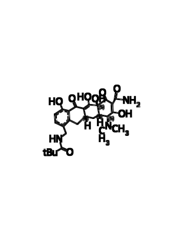 CN(C)[C@@H]1C(O)=C(C(N)=O)C(=O)[C@@]2(O)C(O)=C3C(=O)c4c(O)ccc(CNC(=O)C(C)(C)C)c4C[C@H]3C[C@@H]12